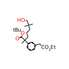 CCOC(=O)Cc1cccc(C(C)(CCCC(C)(C)CO)C(=O)OC(C)(C)C)c1